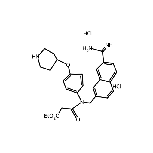 CCOC(=O)CC(=O)N(Cc1ccc2ccc(C(=N)N)cc2c1)c1ccc(OC2CCNCC2)cc1.Cl.Cl